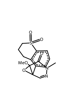 COC12OC1(c1cccc3c1CCCS3(=O)=O)C=NN(C)C2=O